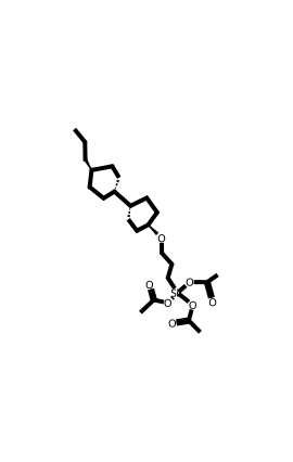 CCC[C@H]1CC[C@H]([C@H]2CC[C@H](OCCC[Si](OC(C)=O)(OC(C)=O)OC(C)=O)CC2)CC1